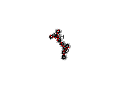 C1=C(c2ccccc2)N=C(c2ccccc2)NC1c1ccc(-c2ccc(-c3cc4c5ccc(-c6ccccc6)cc5oc4c4ccccc34)cc2)cc1